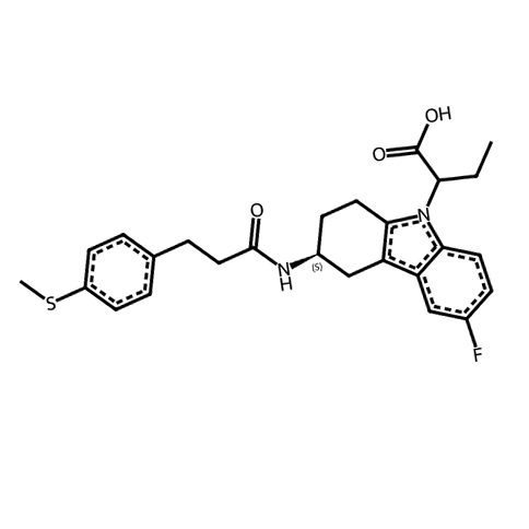 CCC(C(=O)O)n1c2c(c3cc(F)ccc31)C[C@@H](NC(=O)CCc1ccc(SC)cc1)CC2